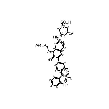 COCCn1c(=O)c(-c2ccc(N(c3ccccc3F)S(C)(=O)=O)c(F)c2)cc2cnc(N[C@H]3C[C@H](F)CN(C(=O)O)C3)nc21